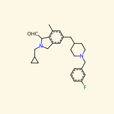 Cc1cc(CC2CCN(Cc3cccc(F)c3)CC2)cc2c1C(C=O)N(CC1CC1)C2